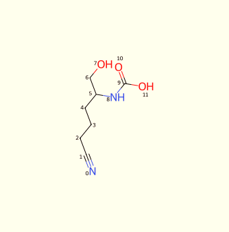 N#CCCCC(CO)NC(=O)O